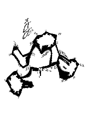 [CH3][Zr+2](=[CH]c1ccccc1)[CH]1c2ccccc2-c2cccc(C3=CC=CC3)c21.[Cl-].[Cl-]